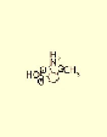 COc1cccc(S(=O)(=O)O)c1CN